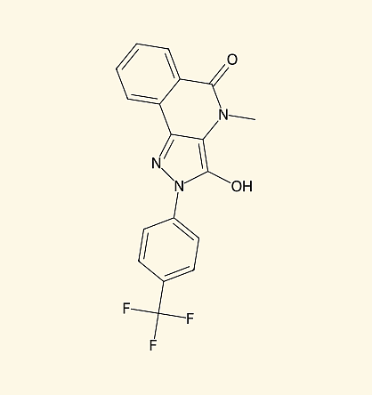 Cn1c(=O)c2ccccc2c2nn(-c3ccc(C(F)(F)F)cc3)c(O)c21